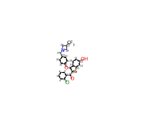 O=C(c1ccccc1Cl)c1sc2cc(O)ccc2c1Oc1ccc(CN2CC(C(F)(F)F)C2)cc1